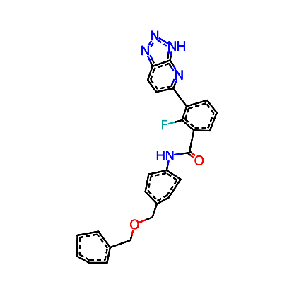 O=C(Nc1ccc(COCc2ccccc2)cc1)c1cccc(-c2ccc3nn[nH]c3n2)c1F